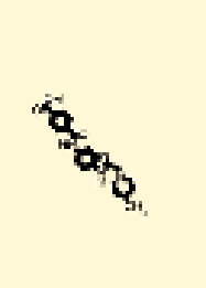 CC1CCN(Cc2nc3cc(NC(=O)c4ccc(C(=O)O)cc4)ccc3[nH]2)CC1